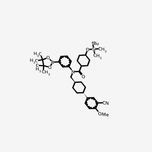 COc1ccc([C@H]2CC[C@H](CN(C(=O)C3CCC(O[Si](C)(C)C(C)(C)C)CC3)c3cccc(B4OC(C)(C)C(C)(C)O4)c3)CC2)cc1C#N